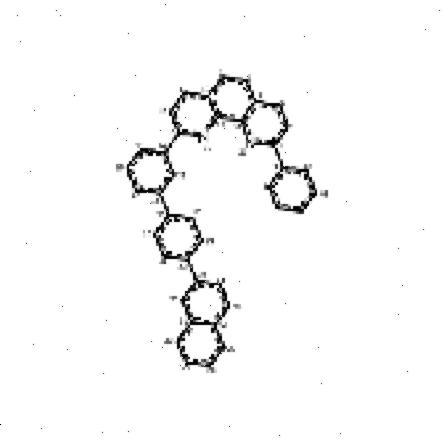 c1ccc(-c2ccc3ccc4ccc(-c5cccc(-c6ccc(-c7ccc8ccccc8c7)cc6)c5)nc4c3n2)cc1